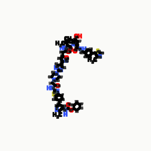 Cc1ncc(-c2ccc3nc(NC(=O)CN4CCN(c5ncc(-c6cc(CC(=O)N[C@H](C(=O)N7C[C@H](O)C[C@H]7C(=O)NCc7ccc(-c8scnc8C)cc7)C(C)(C)C)on6)cn5)CC4)sc3c2)cc1NC(=O)OC1CCCCC1